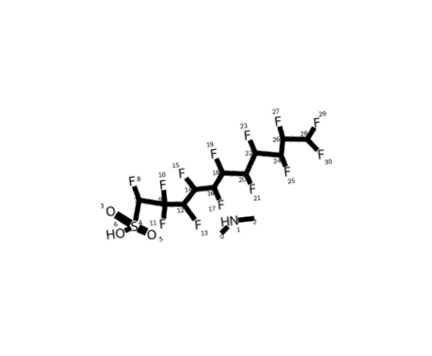 CNC.O=S(=O)(O)C(F)C(F)(F)C(F)C(F)C(F)C(F)C(F)C(F)C(F)C(F)C(F)F